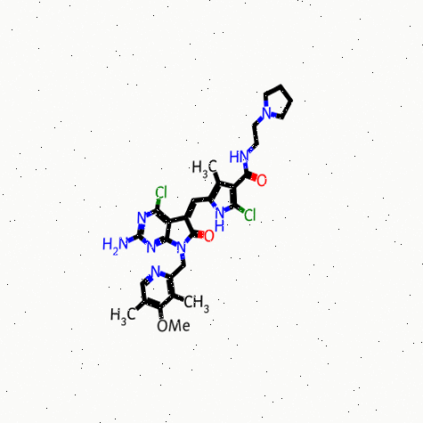 COc1c(C)cnc(CN2C(=O)C(=Cc3[nH]c(Cl)c(C(=O)NCCN4CCCC4)c3C)c3c(Cl)nc(N)nc32)c1C